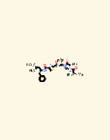 CCCO[C@H](C[C@H](C(C)C)N(CCC)C(=O)[C@@H](NC(=O)[C@@H](NC)[C@@H](C)CC)[C@@H](C)CC)c1nc(C(=O)N[C@@H](Cc2ccccc2)C[C@H](C)C(=O)O)cs1